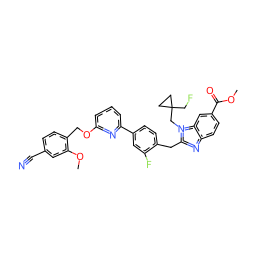 COC(=O)c1ccc2nc(Cc3ccc(-c4cccc(OCc5ccc(C#N)cc5OC)n4)cc3F)n(CC3(CF)CC3)c2c1